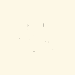 CCO[Si]1(OCC)O[SiH2]O[Si](OCC)(OCC)O1